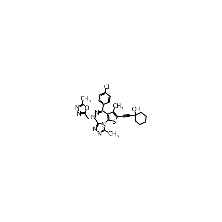 Cc1nnc(C[C@@H]2N=C(c3ccc(Cl)cc3)c3c(sc(C#CC4(O)CCCCC4)c3C)-n3c(C)nnc32)o1